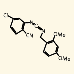 COc1ccc(CN=C=Nc2cc(Cl)ccc2C#N)c(OC)c1